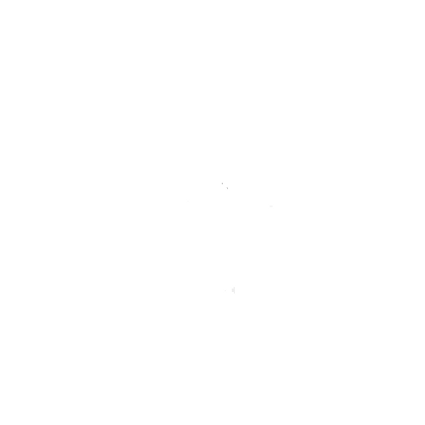 CCCC(C(=O)c1ccc(O)cc1)N1CCCC1.Cl